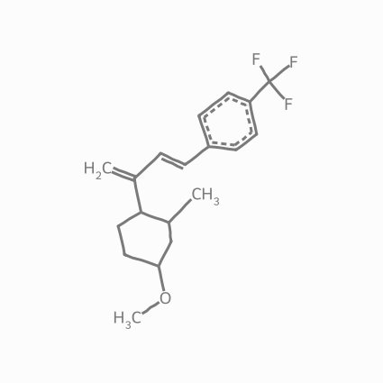 C=C(/C=C/c1ccc(C(F)(F)F)cc1)C1CCC(OC)CC1C